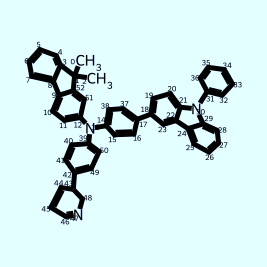 CC1(C)c2ccccc2-c2ccc(N(c3ccc(-c4ccc5c(c4)c4ccccc4n5-c4ccccc4)cc3)c3ccc(C4C=CC=NC4)cc3)cc21